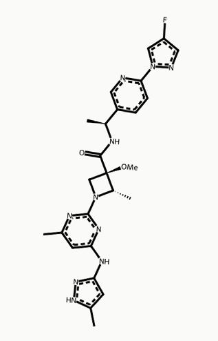 CO[C@]1(C(=O)N[C@@H](C)c2ccc(-n3cc(F)cn3)nc2)CN(c2nc(C)cc(Nc3cc(C)[nH]n3)n2)[C@H]1C